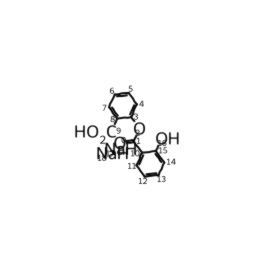 O=C(Oc1ccccc1C(=O)O)c1ccccc1O.[NaH].[NaH]